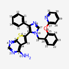 Nc1ncnc2sc(-c3c(-c4ccccc4)ncn3Cc3ccccc3Oc3ccccn3)cc12